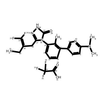 Cc1c(-c2ccc(N(C)C)nc2)cccc1-n1c(CC(CN)=C(F)F)n[nH]c1=O.O=C(O)C(F)(F)F